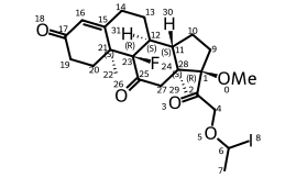 CO[C@]1(C(=O)COC(C)I)CC[C@H]2[C@@H]3CCC4=CC(=O)CC[C@]4(C)[C@@]3(F)C(=O)C[C@@]21C